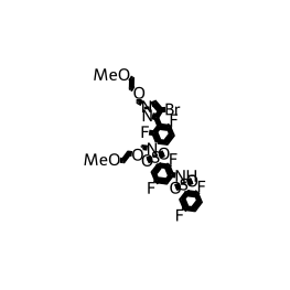 COCCOCN(c1ccc(F)c(-c2nn(COCCOC)cc2Br)c1F)S(=O)(=O)c1cc(F)cc(NS(=O)(=O)c2cc(F)ccc2F)c1F